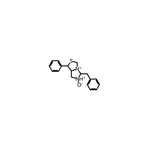 [O-][NH+]1CC2C(c3ccccc3)SC[N+]2C1Cc1ccccc1